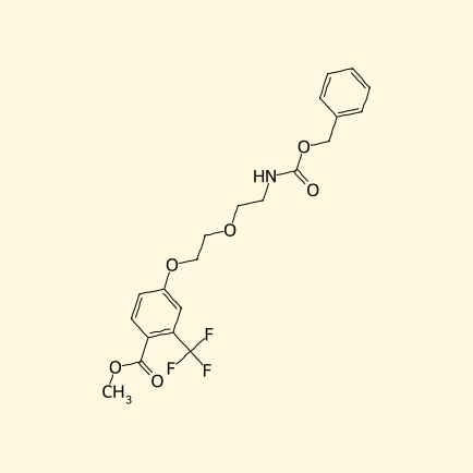 COC(=O)c1ccc(OCCOCCNC(=O)OCc2ccccc2)cc1C(F)(F)F